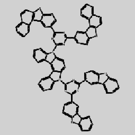 c1ccc2c(c1)ccc1sc3ccc(-c4nc(-c5ccc6sc7ccc8ccccc8c7c6c5)nc(-n5c6ccccc6c6c7c8ccccc8n(-c8nc(-c9ccc%10oc%11ccccc%11c%10c9)nc(-c9ccc%10oc%11ccccc%11c%10c9)n8)c7ccc65)n4)cc3c12